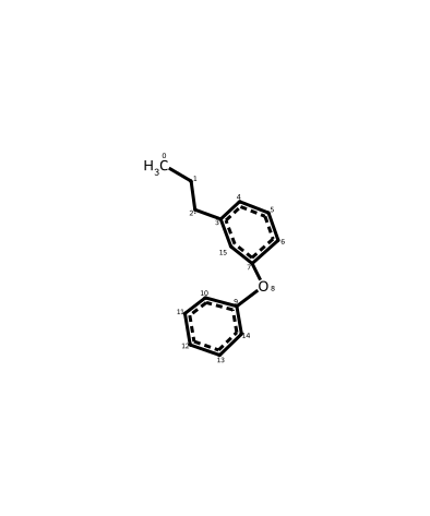 CC[CH]c1cccc(Oc2ccccc2)c1